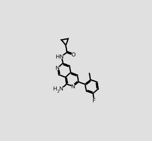 Cc1ccc(F)cc1-c1cc2cc(NC(=O)C3CC3)ncc2c(N)n1